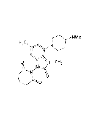 CNC1CCN(c2cc(C)cc3c2n(C)c(=O)n3N2C(=O)CCCC2=O)CC1